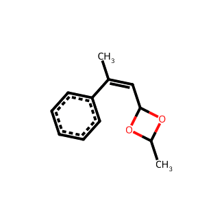 C/C(=C/C1OC(C)O1)c1ccccc1